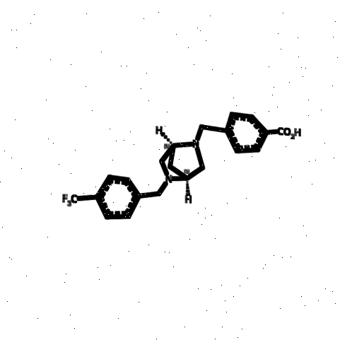 O=C(O)c1ccc(CN2C[C@@H]3C[C@H]2CN3Cc2ccc(C(F)(F)F)cc2)cc1